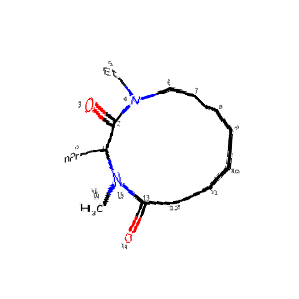 CCCC1C(=O)N(CC)CCCCCCCC(=O)N1C